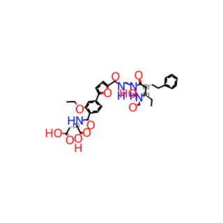 CCOc1cc(-c2ccc(C(=O)NCNC(=O)[C@H](CCc3ccccc3)[C@@H](CC)N(O)C=O)o2)ccc1C(=O)N[C@@H](CC(=O)O)C(=O)O